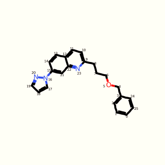 c1ccc(COCCCc2ccc3ccc(-n4cccn4)cc3n2)cc1